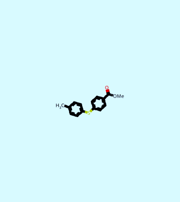 COC(=O)c1ccc(Sc2ccc(C)cc2)cc1